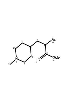 COC(=O)C(CC1CCN(C)CC1)C(C)=O